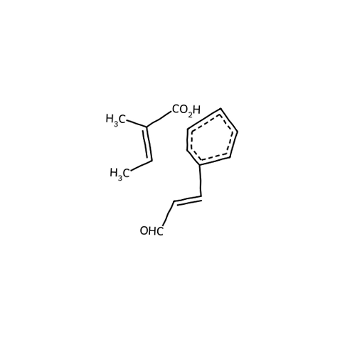 CC=C(C)C(=O)O.O=CC=Cc1ccccc1